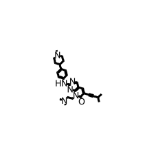 CC(C)C#Cc1cc2cnc(Nc3ccc(C4CCN(C)CC4)cc3)nc2n(CCN(C)C)c1=O